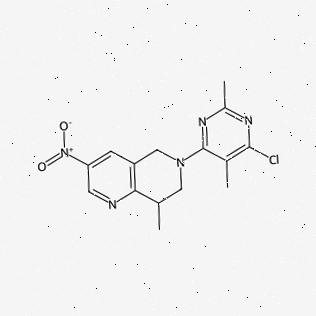 Cc1nc(Cl)c(C)c(N2Cc3cc([N+](=O)[O-])cnc3C(C)C2)n1